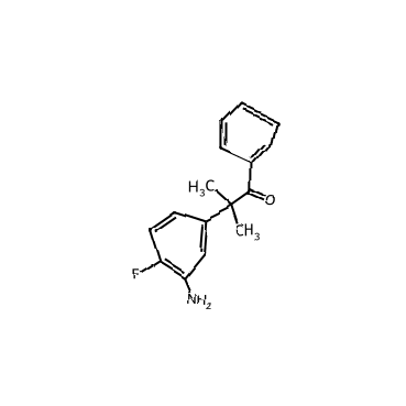 CC(C)(C(=O)c1ccccc1)c1ccc(F)c(N)c1